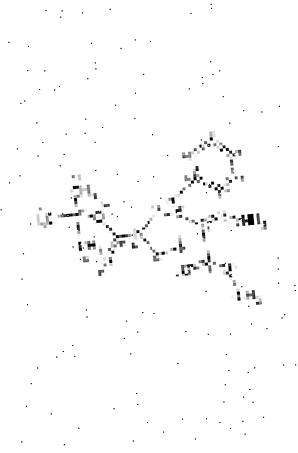 COC(=O)C1=C(N)c2ccccc2CC12CCN(C(=O)OC(C)(C)C)C2